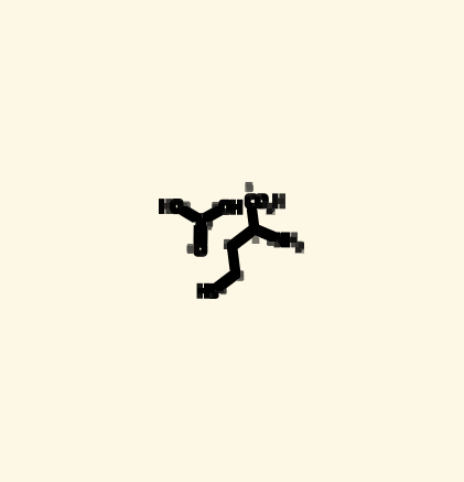 NC(CCS)C(=O)O.O=S(O)O